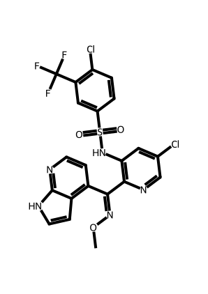 CO/N=C(/c1ncc(Cl)cc1NS(=O)(=O)c1ccc(Cl)c(C(F)(F)F)c1)c1ccnc2[nH]ccc12